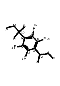 CCC(C)c1c(F)c(F)c(C(C)(C)CC)c(F)c1F